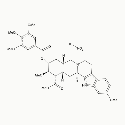 COC(=O)[C@H]1[C@H]2C[C@@H]3c4[nH]c5cc(OC)ccc5c4CCN3C[C@H]2C[C@@H](OC(=O)c2cc(OC)c(OC)c(OC)c2)[C@@H]1OC.O=[N+]([O-])O